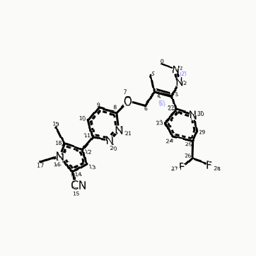 C/N=N\C(=C(/C)COc1ccc(-c2cc(C#N)n(C)c2C)nn1)c1ccc(C(F)F)cn1